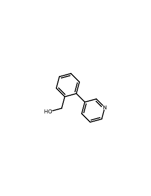 OCc1ccccc1-c1cccnc1